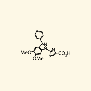 COc1cc2c(-c3ccccc3)nn(-c3nc(C(=O)O)cs3)c2cc1OC